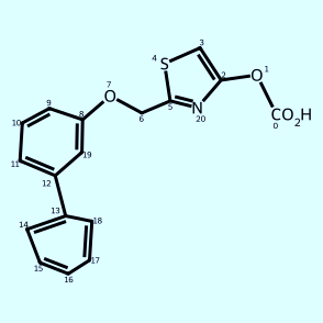 O=C(O)Oc1csc(COc2cccc(-c3ccccc3)c2)n1